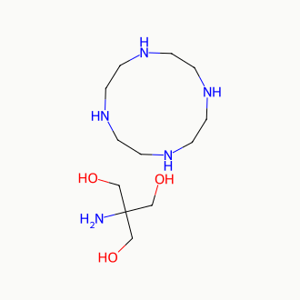 C1CNCCNCCNCCN1.NC(CO)(CO)CO